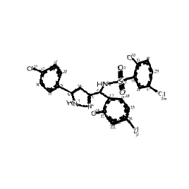 O=S(=O)(NC(C1=NNC(c2ccc(Cl)cc2)C1)c1ccc(Cl)cc1Cl)c1cc(Cl)ccc1Cl